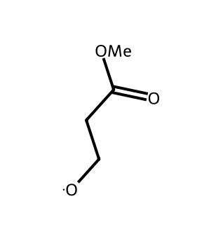 COC(=O)CC[O]